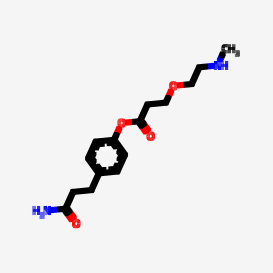 CNCCOCCC(=O)Oc1ccc(CCC(N)=O)cc1